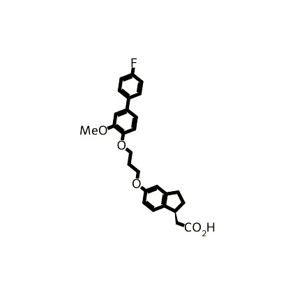 COc1cc(-c2ccc(F)cc2)ccc1OCCCOc1ccc2c(c1)CC[C@H]2CC(=O)O